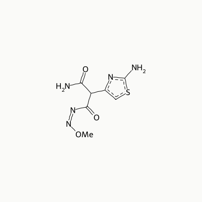 CO/N=N\C(=O)C(C(N)=O)c1csc(N)n1